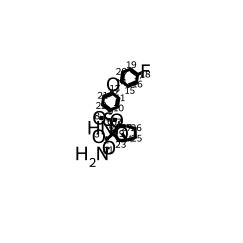 NOC(=O)C1(NS(=O)(=O)c2ccc(Oc3ccc(F)cc3)cc2)CC2CCC(C1)O2